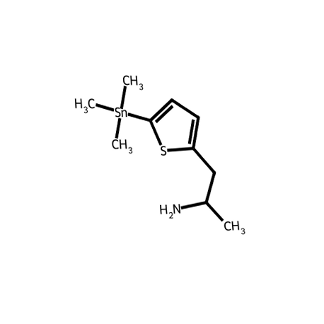 CC(N)Cc1cc[c]([Sn]([CH3])([CH3])[CH3])s1